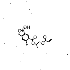 C=CC(=O)OCC(C)OC(=O)c1cc2c(cc1F)COB2O